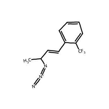 CC(/C=C/c1ccccc1C(F)(F)F)N=[N+]=[N-]